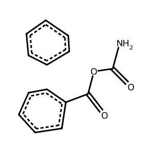 NC(=O)OC(=O)c1ccccc1.c1ccccc1